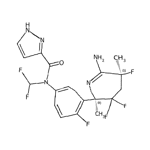 C[C@]1(F)CC(F)(F)[C@@](C)(c2cc(N(C(=O)c3cc[nH]n3)C(F)F)ccc2F)N=C1N